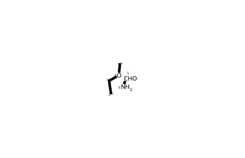 N[C]=O.[CH2]COC